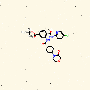 CC(C)(C)OC(=O)c1ccc(C(=O)Nc2ccc(Cl)cn2)c(NC(=O)[C@H]2CC[C@H](N3CCOCC3=O)CC2)c1